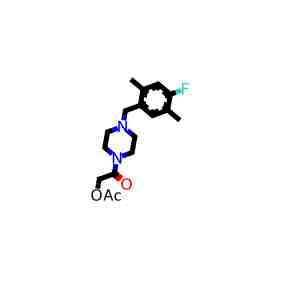 CC(=O)OCC(=O)N1CCN(Cc2cc(C)c(F)cc2C)CC1